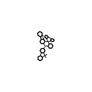 CC1(C)c2ccccc2-c2ccc(N3c4ccccc4C4(c5ccccc5-c5ccccc54)c4c3ccc3c4oc4ccccc43)cc21